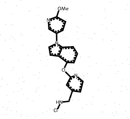 COc1ccc(-n2ccc3c(Oc4cc(CNCl)ccn4)cccc32)cn1